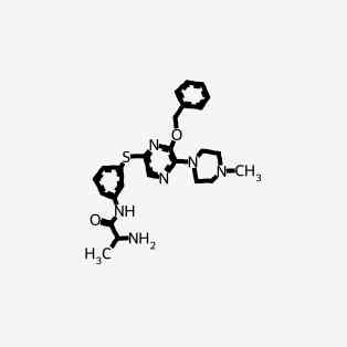 CC(N)C(=O)Nc1cccc(Sc2cnc(N3CCN(C)CC3)c(OCc3ccccc3)n2)c1